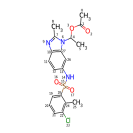 CC(=O)OC(C)n1c(C)nc2ccc(NS(=O)(=O)c3cccc(Cl)c3C)cc21